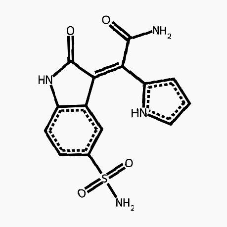 NC(=O)/C(=C1\C(=O)Nc2ccc(S(N)(=O)=O)cc21)c1ccc[nH]1